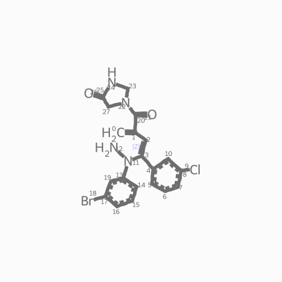 C=C(/C=C(/c1cccc(Cl)c1)N(N)c1cccc(Br)c1)C(=O)N1CNC(=O)C1